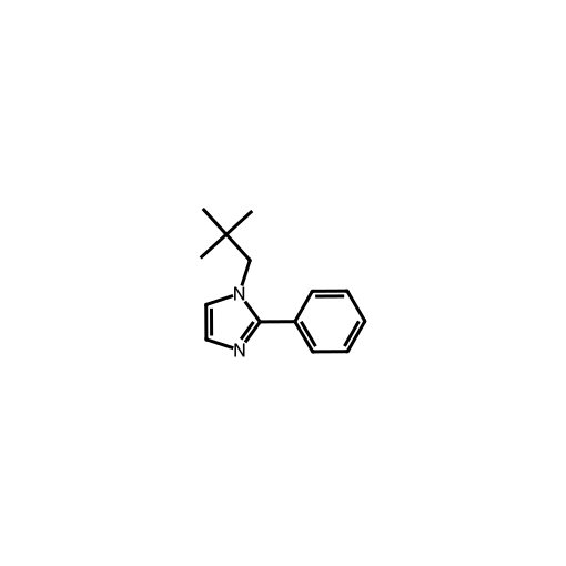 CC(C)(C)Cn1ccnc1-c1ccccc1